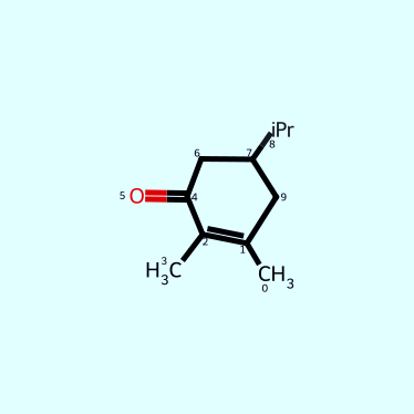 CC1=C(C)C(=O)CC(C(C)C)C1